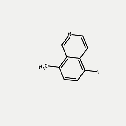 Cc1ccc(I)c2ccncc12